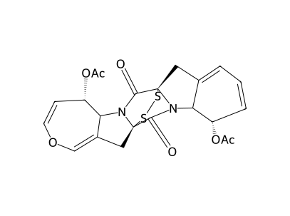 CC(=O)O[C@H]1C=CC=C2C[C@@]34SS[C@]5(CC6=COC=C[C@H](OC(C)=O)C6N5C3=O)C(=O)N4C21